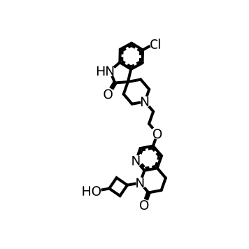 O=C1CCc2cc(OCCN3CCC4(CC3)C(=O)Nc3ccc(Cl)cc34)cnc2N1C1CC(O)C1